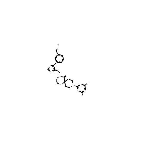 COCc1cccc(-c2ocnc2CN2CCNC3(CCN(c4nc(C)cc(C)n4)CC3)C2=O)c1